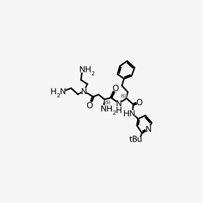 CC(C)(C)c1cc(NC(=O)[C@H](CCc2ccccc2)NC(=O)[C@@H](N)CC(=O)N(CCN)CCN)ccn1